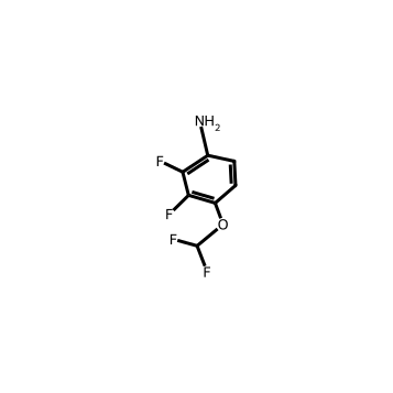 Nc1ccc(OC(F)F)c(F)c1F